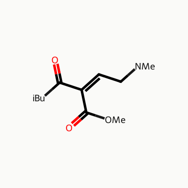 CCC(C)C(=O)C(=CCNC)C(=O)OC